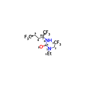 CCN(CC(F)(F)F)C(=O)N[C@@H](CCC(F)(F)F)C(F)(F)F